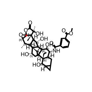 CC[C@@]12[C@H](CC3C[C@@H]3[C@@H]1O)[C@@H](NC(=O)c1cccc(C(=O)OC)c1)[C@H](O)[C@H]1[C@@H]3[C@@H](O)[C@@H]4[C@H]([C@H](C)[C@H]5O[C@]56OC(=O)[C@@](C)(O)[C@]46C)[C@@]3(C(C)=O)[C@@H](O)C[C@@H]12